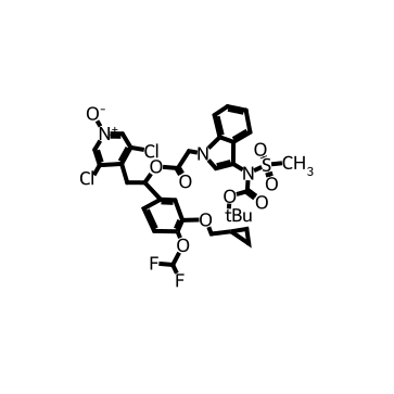 CC(C)(C)OC(=O)N(c1cn(CC(=O)OC(Cc2c(Cl)c[n+]([O-])cc2Cl)c2ccc(OC(F)F)c(OCC3CC3)c2)c2ccccc12)S(C)(=O)=O